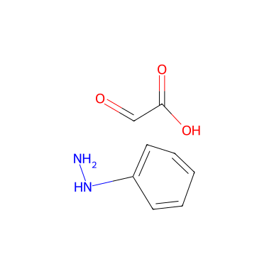 NNc1ccccc1.O=CC(=O)O